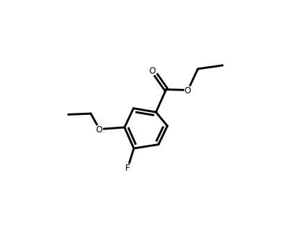 CCOC(=O)c1ccc(F)c(OCC)c1